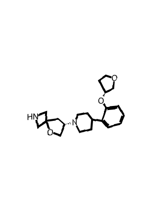 c1ccc(C2CCN([C@@H]3COC4(CNC4)C3)CC2)c(O[C@@H]2CCOC2)c1